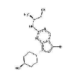 C[C@@H](CC#N)Nc1ncc2c(Br)cc([C@H]3CC[C@H](O)CC3)n2n1